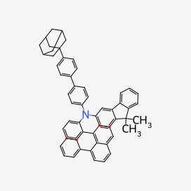 CC1(C)c2ccccc2-c2cc(N(C3=CC=C=C=C3c3cccc4cccc(C5=CC=CCC5)c34)c3ccc(-c4ccc(C56CC7CC(CC(C7)C5)C6)cc4)cc3)ccc21